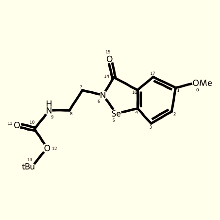 COc1ccc2[se]n(CCNC(=O)OC(C)(C)C)c(=O)c2c1